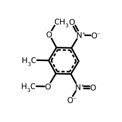 COc1c([N+](=O)[O-])cc([N+](=O)[O-])c(OC)c1C